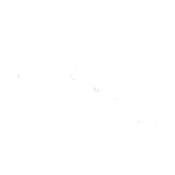 CC1(CC(=O)O)Oc2ccccc2N(c2nc3cc(Cl)ccc3s2)C1=O